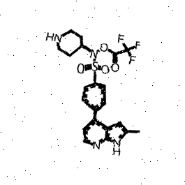 Cc1cc2c(-c3ccc(S(=O)(=O)N(OC(=O)C(F)(F)F)C4CCNCC4)cc3)ccnc2[nH]1